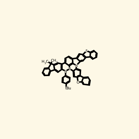 CC(C)(C)c1ccc(N2B3c4cc5oc6ccccc6c5cc4-n4c5cc6c(cc5c5ccc(c3c54)-c3cc4c(cc32)-c2ccccc2C4(C)C)sc2ccccc26)cc1